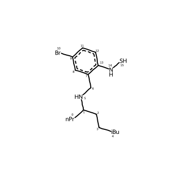 CCCC(CCC(C)CC)NCc1cc(Br)ccc1NS